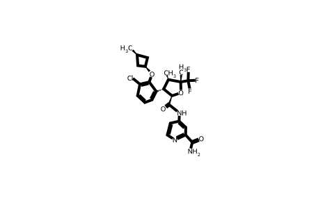 C[C@H]1[C@@H](c2cccc(Cl)c2O[C@H]2C[C@@H](C)C2)[C@H](C(=O)Nc2ccnc(C(N)=O)c2)O[C@@]1(C)C(F)(F)F